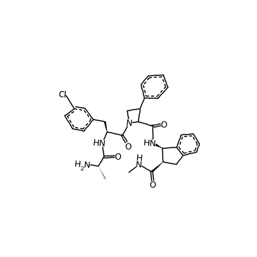 CNC(=O)[C@@H]1Cc2ccccc2[C@@H]1NC(=O)C1C(c2ccccc2)CN1C(=O)[C@H](Cc1cccc(Cl)c1)NC(=O)[C@H](C)N